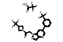 O=C(Cn1ncc2ncc(-c3cccc(C(F)(F)F)c3)cc21)N1CC(C(F)(F)F)C1.O=C(O)C(F)(F)F